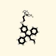 CN(C)CCOc1ccc(C(=C(CCF)c2ccccc2)c2ccccc2)cc1